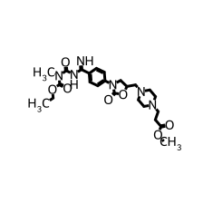 CCOC(=O)N(C)C(=O)NC(=N)c1ccc(N2CC(CN3CCN(CCC(=O)OC)CC3)OC2=O)cc1